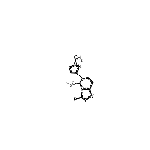 Cc1c(-c2ccn(C)n2)ccc2n[c]c(F)n12